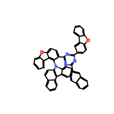 c1ccc2cc(-c3nc(-c4ccc5oc6ccccc6c5c4)nc(-c4ccc5oc6ccccc6c5c4-n4c5ccccc5c5c6ccccc6ccc54)n3)ccc2c1